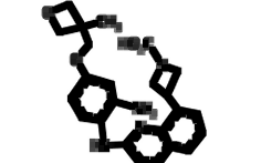 CC1(COc2ccc(Nc3ccc4cccc(C5CN(C(=O)O)C5)c4n3)c(N)c2)COC1